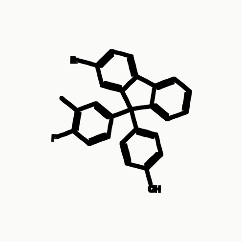 Cc1cc(C2(c3ccc(O)cc3)c3ccccc3-c3ccc(Br)cc32)ccc1F